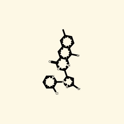 Cc1ccc2c(Br)c3nc(-c4cc(Br)nn4-c4ncccc4Cl)oc(=O)c3cc2c1